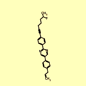 C=CCc1ccc(-c2cnc(-c3ccc(C#CCCCC(C)F)cc3)nc2)cc1